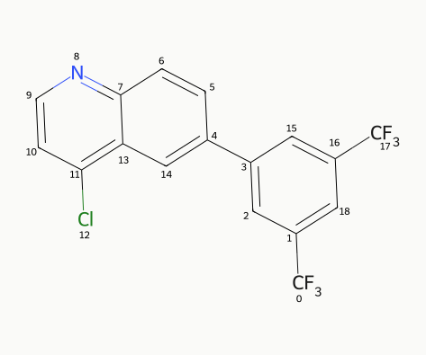 FC(F)(F)c1cc(-c2ccc3nccc(Cl)c3c2)cc(C(F)(F)F)c1